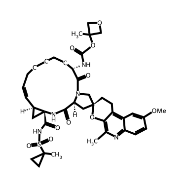 COc1ccc2nc(C)c3c(c2c1)CC[C@]1(C[C@H]2C(=O)N[C@]4(C(=O)NS(=O)(=O)C5(C)CC5)C[C@H]4/C=C\CCCCC[C@H](NC(=O)OC4(C)COC4)C(=O)N2C1)O3